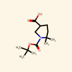 CC(C)(C)OC(=O)N1CC(C(=O)O)CCC1(C)C